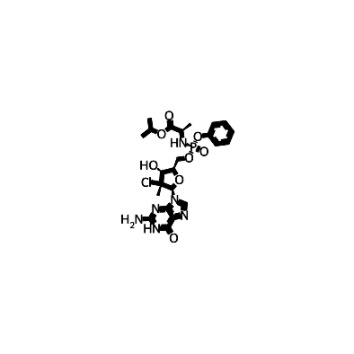 CC(C)OC(=O)[C@@H](C)N[P@@](=O)(OC[C@H]1O[C@@H](n2cnc3c(=O)[nH]c(N)nc32)[C@](C)(Cl)[C@@H]1O)Oc1ccccc1